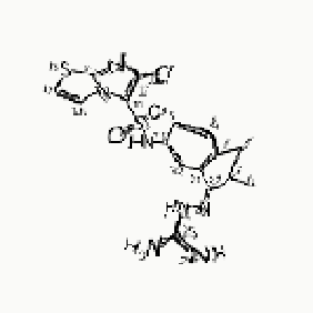 CC1Cc2ccc(NS(=O)(=O)c3c(Cl)nc4sccn34)cc2C1=NNC(=N)N